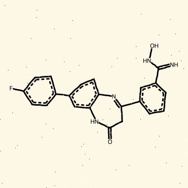 N=C(NO)c1cccc(C2=Nc3ccc(-c4ccc(F)cc4)cc3NC(=O)C2)c1